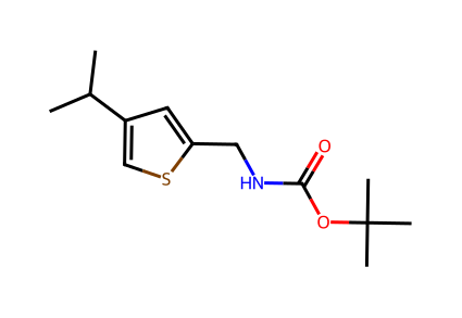 CC(C)c1csc(CNC(=O)OC(C)(C)C)c1